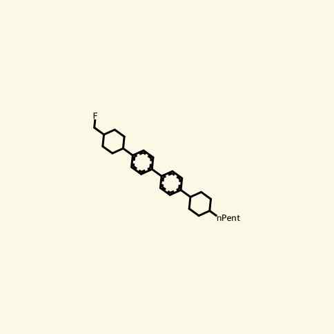 CCCCCC1CCC(c2ccc(-c3ccc(C4CCC(CF)CC4)cc3)cc2)CC1